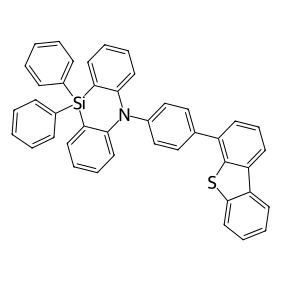 c1ccc([Si]2(c3ccccc3)c3ccccc3N(c3ccc(-c4cccc5c4sc4ccccc45)cc3)c3ccccc32)cc1